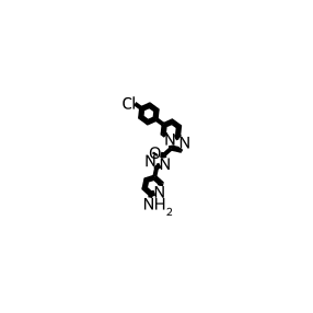 Nc1ccc(-c2noc(-c3cnc4ccc(-c5ccc(Cl)cc5)cn34)n2)cn1